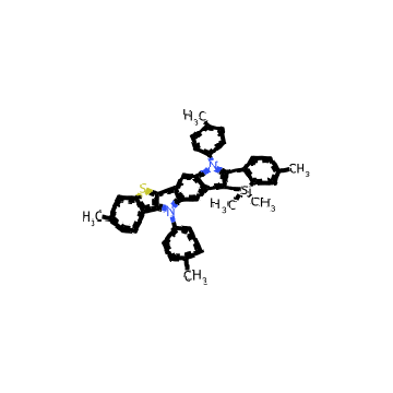 Cc1ccc(-n2c3c(c4cc5c(cc42)c2sc4cc(C)ccc4c2n5-c2ccc(C)cc2)[Si](C)(C)c2cc(C)ccc2-3)cc1